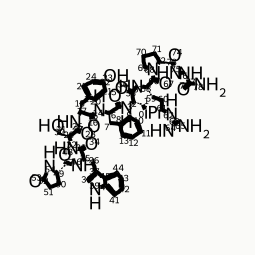 CC(C)C[C@H](NC(=O)[C@@H](Cc1ccccc1)NC(=O)[C@H](Cc1ccc(O)cc1)NC(=O)[C@H](CO)NC(=O)[C@H](Cc1c[nH]c2ccccc12)NC(=O)[C@@H]1CCC(=O)N1)C(=O)N[C@@H](CCCNC(=N)N)C(=O)N1CCC[C@H]1C(=O)NNC(N)=O